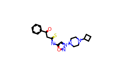 O=C(CC(=S)[N-]c1c[n+](N2CCN(C3CCC3)CC2)no1)c1ccccc1